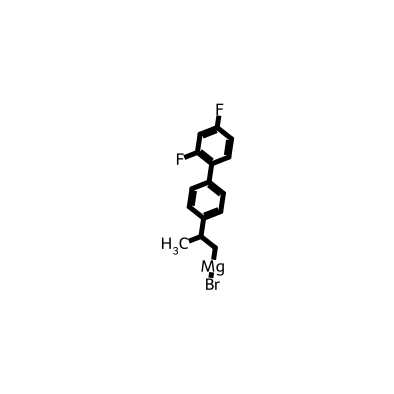 CC([CH2][Mg][Br])c1ccc(-c2ccc(F)cc2F)cc1